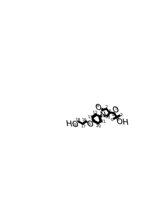 CC(C)(O)C(=O)C1CC(=O)N(c2ccc(OCCCO)cc2)C1